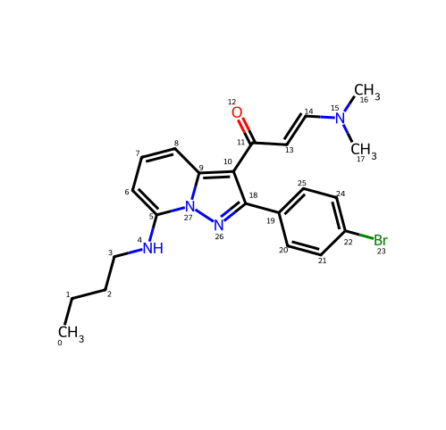 CCCCNc1cccc2c(C(=O)C=CN(C)C)c(-c3ccc(Br)cc3)nn12